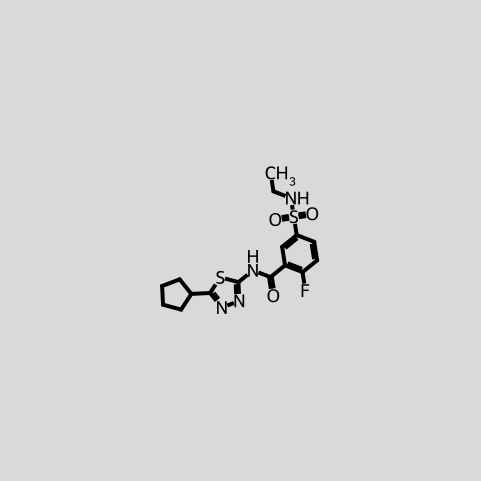 CCNS(=O)(=O)c1ccc(F)c(C(=O)Nc2nnc(C3CCCC3)s2)c1